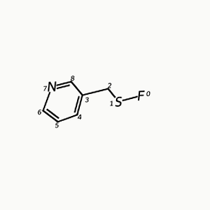 FSCc1cccnc1